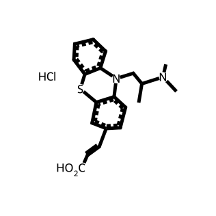 CC(CN1c2ccccc2Sc2cc(C=CC(=O)O)ccc21)N(C)C.Cl